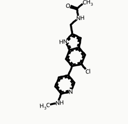 CNc1ccc(-c2cc3[nH]c(CNC(C)=O)cc3cc2Cl)cn1